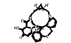 O=C1C=CN2C(C(=O)N3CC[C@H]4C[C@H]4COc4cccc5c4[C@H](c4ccccc4SC5)N2C3)C1O